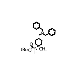 CC(C)(C)OC(=O)N[C@]1(C)CC[C@@H](CN(Cc2ccccc2)Cc2ccccc2)CC1